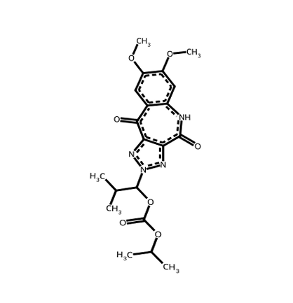 COc1cc2[nH]c(=O)c3nn(C(OC(=O)OC(C)C)C(C)C)nc3c(=O)c2cc1OC